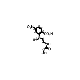 CC(C)N(CCNC(=O)OC(C)(C)C)c1cc([N+](=O)[O-])ccc1C(=O)O